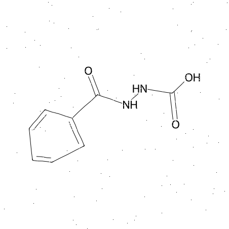 O=C(O)NNC(=O)c1ccccc1